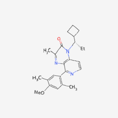 CC[C@@H](C1CCC1)n1c(=O)c(C)nc2c(-c3cc(C)c(OC)cc3C)nccc21